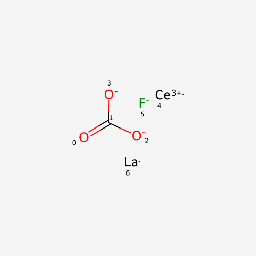 O=C([O-])[O-].[Ce+3].[F-].[La]